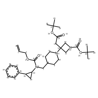 C=CCOC(=O)N(CC1CCN(C2(CC(=O)OC(C)(C)C)CN(C(=O)OC(C)(C)C)C2)CC1)C1CC1c1ccccc1